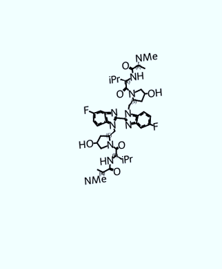 CN[C@H](C)C(=O)N[C@@H](C(=O)N1CC(O)C[C@H]1Cn1c(-c2nc3cc(F)ccc3n2C[C@@H]2CC(O)CN2C(=O)[C@H](NC(=O)[C@@H](C)NC)C(C)C)nc2cc(F)ccc21)C(C)C